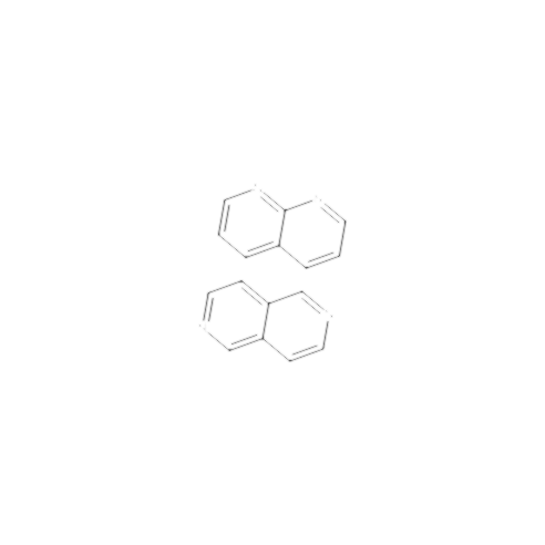 c1cc2cnccc2cn1.c1cnc2ncccc2c1